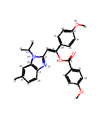 COc1ccc(C(=O)OC(=Cc2nc3ccc(C)cc3n2C(C)C)c2ccc(OC)cc2)cc1